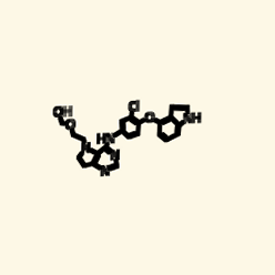 OCOCCN1CCc2ncnc(Nc3ccc(Oc4cccc5[nH]ccc45)c(Cl)c3)c21